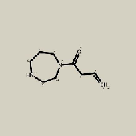 C=CCC(=O)N1CCCNCC1